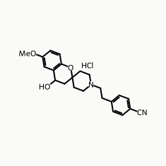 COc1ccc2c(c1)C(O)CC1(CCN(CCc3ccc(C#N)cc3)CC1)O2.Cl